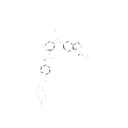 CCN1CCN(CCc2ccc(C(=O)Nc3cc(N(CCCOC)c4ccc5c(ccn5C(=O)NC)c4)ccn3)cc2)CC1